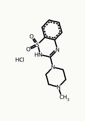 CN1CCN(C2=Nc3ccccc3S(=O)(=O)N2)CC1.Cl